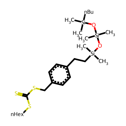 CCCCCCSC(=S)SCc1ccc(CC[Si](C)(C)O[Si](C)(C)O[Si](C)(C)CCCC)cc1